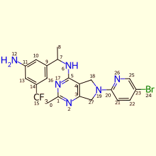 Cc1nc2c(c(NC(C)c3cc(N)cc(C(F)(F)F)c3)n1)CN(c1ccc(Br)cn1)C2